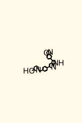 OC1CCCN(Cc2ccc(-c3cnc4[nH]cc(-c5ccc6ocnc6c5)c4c3)cc2)C1